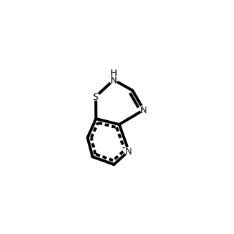 C1=Nc2ncccc2SN1